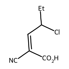 CCC(Cl)C=C(C#N)C(=O)O